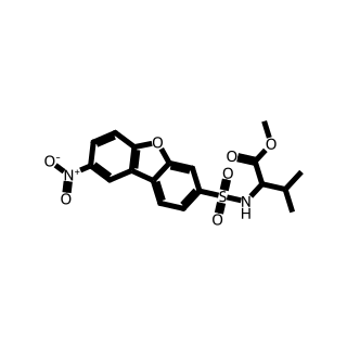 COC(=O)C(NS(=O)(=O)c1ccc2c(c1)oc1ccc([N+](=O)[O-])cc12)C(C)C